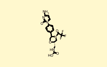 Nc1ccn(-c2ccc(C3CO[C@@H](CNC(=O)O)CN3C(=O)C(F)(F)F)cc2)c(=O)n1